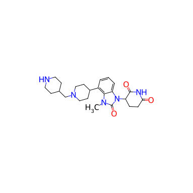 Cn1c(=O)n(C2CCC(=O)NC2=O)c2cccc(C3CCN(CC4CCNCC4)CC3)c21